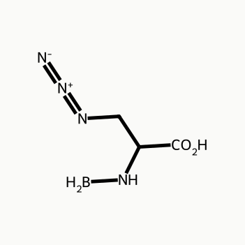 BNC(CN=[N+]=[N-])C(=O)O